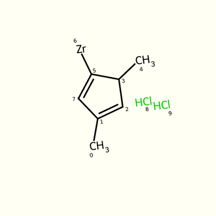 CC1=CC(C)[C]([Zr])=C1.Cl.Cl